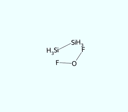 FOF.[SiH3][SiH3]